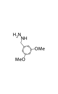 COc1cc(CNN)cc(OC)c1